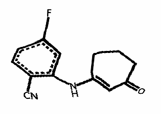 N#Cc1ccc(F)cc1NC1=CC(=O)CCC1